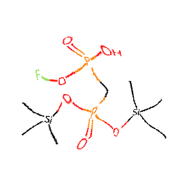 C[Si](C)(C)OP(=O)(CP(=O)(O)OF)O[Si](C)(C)C